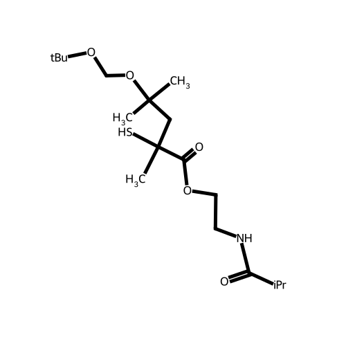 CC(C)C(=O)NCCOC(=O)C(C)(S)CC(C)(C)OCOC(C)(C)C